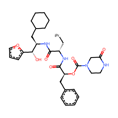 CC(C)C[C@H](NC(=O)[C@H](Cc1ccccc1)OC(=O)N1CCNC(=O)C1)C(=O)N[C@H](CC1CCCCC1)[C@H](O)c1ccco1